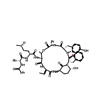 C/C=C1\NC(=O)[C@@H](NC(=O)[C@H](CC[S+](C)[O-])NC(=O)[C@@H](NC(=O)CCC)[C@@H](C)CC)[C@@H](C)OC(=O)[C@H](C(C)C)NC(=O)[C@H](Cc2ccc(O)cc2)N(C)C(=O)[C@H](Cc2ccccc2)N2C(=O)[C@H](CC[C@H]2O)NC1=O